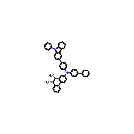 CC1c2ccccc2-c2ccc(N(c3ccc(-c4ccccc4)cc3)c3ccc(-c4ccc5c(c4)c4ccccc4n5-c4ccccc4)cc3)cc2C1C